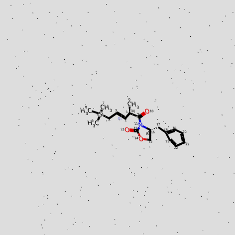 C[C@H](/C=C/C[Si](C)(C)C)C(=O)N1C(=O)OC[C@H]1Cc1ccccc1